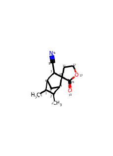 CC1C(C)C2CC1C(C#N)C21CCOC1=O